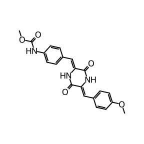 COC(=O)Nc1ccc(C=c2[nH]c(=O)c(=Cc3ccc(OC)cc3)[nH]c2=O)cc1